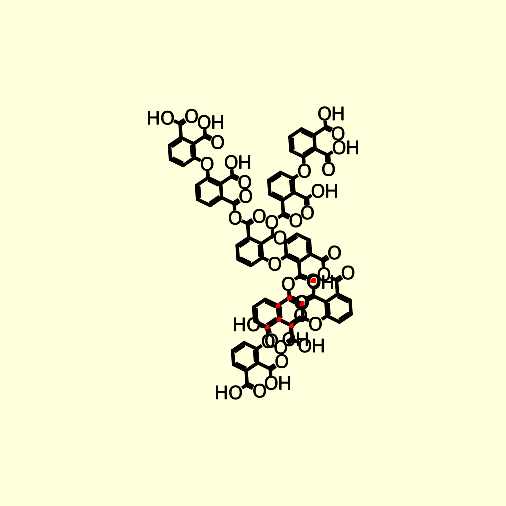 O=C(O)c1cccc(Oc2cccc(C(=O)OC(=O)c3cccc(Oc4cccc(C(=O)OC(=O)c5cccc(Oc6cccc(C(=O)O)c6C(=O)O)c5C(=O)O)c4C(=O)OC(=O)c4cccc(Oc5cccc(C(=O)O)c5C(=O)O)c4C(=O)O)c3C(=O)OC(=O)c3cccc(Oc4cccc(C(=O)O)c4C(=O)O)c3C(=O)O)c2C(=O)O)c1C(=O)O